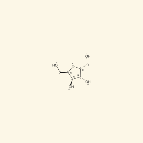 OC[C@H]1O[C@H](CO)[C@H](O)[C@H]1O